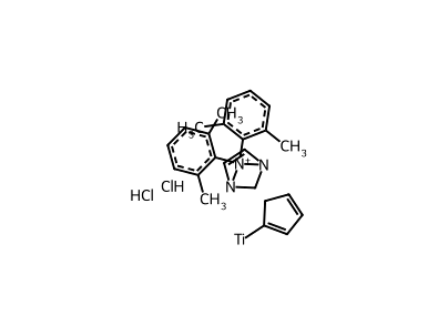 Cc1cccc(C)c1[N+]1(c2c(C)cccc2C)N2C=CN1C2.Cl.Cl.[Ti][C]1=CC=CC1